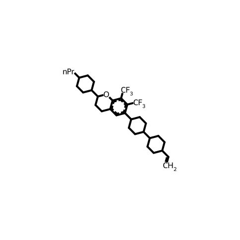 C=CC1CCC(C2CCC(c3cc4c(c(C(F)(F)F)c3C(F)(F)F)OC(C3CCC(CCC)CC3)CC4)CC2)CC1